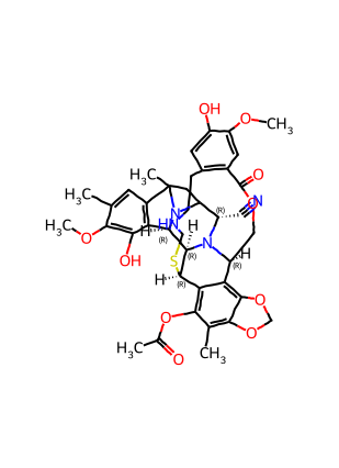 COc1cc2c(cc1O)CCNCS[C@@H]1c3c(OC(C)=O)c(C)c4c(c3[C@H](COC2=O)N2[C@@H]1[C@H]1c3c(cc(C)c(OC)c3O)C3(C)CC([C@@H]2C#N)N13)OCO4